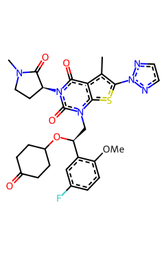 COc1ccc(F)cc1[C@H](Cn1c(=O)n([C@H]2CCN(C)C2=O)c(=O)c2c(C)c(-n3nccn3)sc21)OC1CCC(=O)CC1